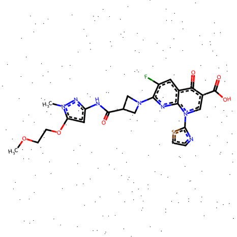 COCCOc1cc(NC(=O)C2CN(c3nc4c(cc3F)c(=O)c(C(=O)O)cn4-c3nccs3)C2)nn1C